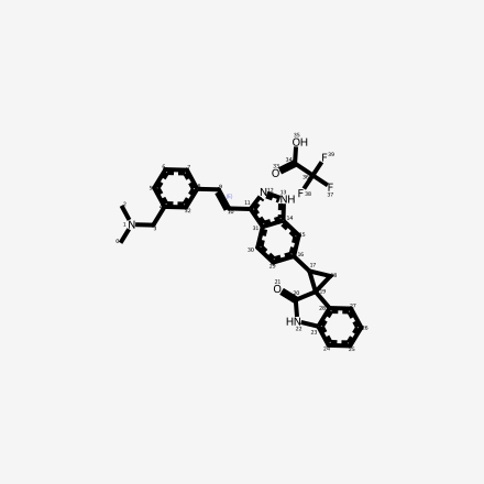 CN(C)Cc1cccc(/C=C/c2n[nH]c3cc(C4CC45C(=O)Nc4ccccc45)ccc23)c1.O=C(O)C(F)(F)F